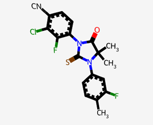 [C-]#[N+]c1ccc(N2C(=O)C(C)(C)N(c3ccc(C)c(F)c3)C2=S)c(F)c1Cl